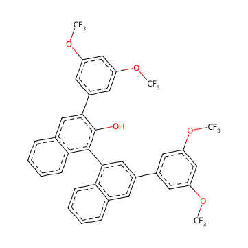 Oc1c(-c2cc(OC(F)(F)F)cc(OC(F)(F)F)c2)cc2ccccc2c1-c1cc(-c2cc(OC(F)(F)F)cc(OC(F)(F)F)c2)cc2ccccc12